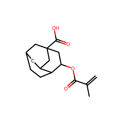 C=C(C)C(=O)OC1CC2(C(=O)O)CC3CCC1C(C3)C2